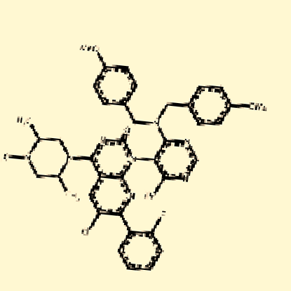 COc1ccc(CN(Cc2ccc(OC)cc2)c2ncnc(C(C)C)c2-n2c(=O)nc(N3CC(C)N(C(=O)O)CC3C)c3cc(Cl)c(-c4ccccc4F)nc32)cc1